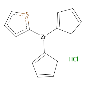 C1=CC[C]([Zr]([C]2=CC=CC2)[c]2cccs2)=C1.Cl